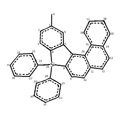 Cc1ccc2c(c1)-c1c(ccc3ccc4ccccc4c13)[Si]2(c1ccccc1)c1ccccc1